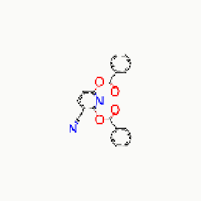 N#Cc1ccc(OC(=O)c2ccccc2)nc1OC(=O)c1ccccc1